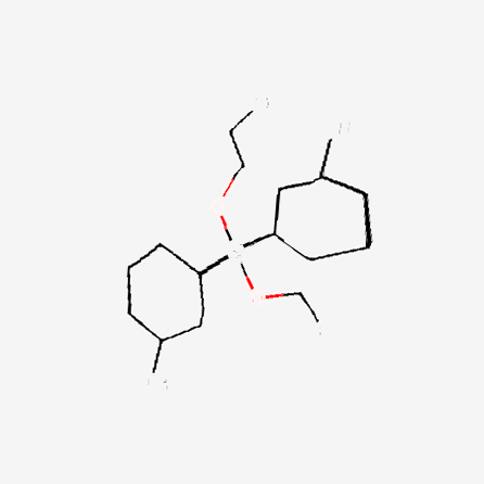 CCCO[Si](OCC)(C1CCCC(C)C1)C1CCCC(C)C1